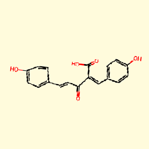 O=C(O)C(=Cc1ccc(O)cc1)C(=O)C=Cc1ccc(O)cc1